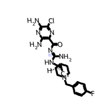 N/C(=N\C(=O)c1nc(Cl)c(N)nc1N)N[C@@H]1C[N+]2(Cc3ccc(F)cc3)CCC1CC2